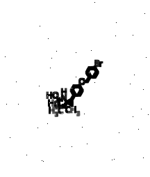 CC(C)(C)C1(NC(=O)O)CC1c1ccc(OCc2ccc(Br)cc2)cc1